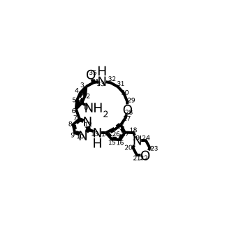 Nc1cc2ccc1-c1ccnc(n1)Nc1ccc(CN3CCOCC3)c(c1)COCCCCNC2=O